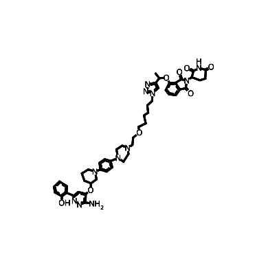 CC(Oc1cccc2c1C(=O)N(C1CCC(=O)NC1=O)C2=O)c1cn(CCCCCCOCCN2CCN(c3ccc(N4CCCC(Oc5cc(-c6ccccc6O)nnc5N)C4)cc3)CC2)nn1